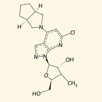 CC1[C@@H](O)[C@H](n2ncc3c(N4C[C@H]5CCC[C@H]5C4)cc(Cl)nc32)O[C@@H]1CO